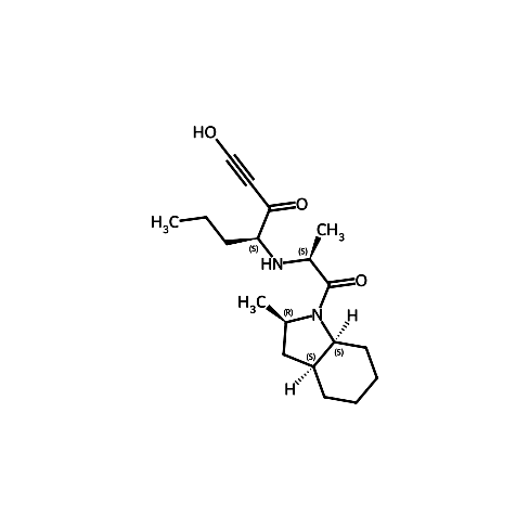 CCC[C@H](N[C@@H](C)C(=O)N1[C@H](C)C[C@@H]2CCCC[C@@H]21)C(=O)C#CO